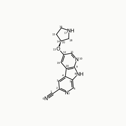 N#Cc1cc2c(cn1)[nH]c1ncc(O[C@H]3CCNC3)cc12